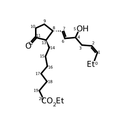 CC/C=C\CC(O)/C=C/[C@H]1CCC(=O)[C@@H]1CCCCCCC(=O)OCC